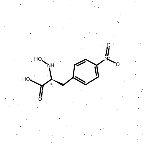 O=C(O)[C@H](Cc1ccc([N+](=O)[O-])cc1)NO